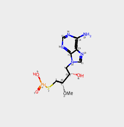 CO[C@H](CS[PH](=O)O)[C@@H](O)Cn1cnc2c(N)ncnc21